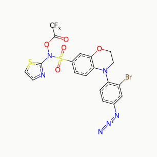 [N-]=[N+]=Nc1ccc(N2CCOc3cc(S(=O)(=O)N(OC(=O)C(F)(F)F)c4nccs4)ccc32)c(Br)c1